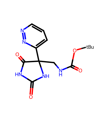 CC(C)(C)OC(=O)NCC1(c2cccnn2)NC(=O)NC1=O